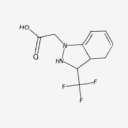 O=C(O)CN1NC(C(F)(F)F)C2CC=CC=C21